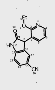 CCOc1ncccc1C1C(=O)Nc2ccc(C#N)cc21